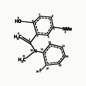 C=C(c1cc(NC)ccc1O)N(C)c1ccccc1F